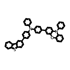 c1ccc(N(c2ccc(-c3ccc4c(c3)Oc3ccccc3N4c3ccccc3)cc2)c2ccc(-c3ccc4sc5ccccc5c4c3)cc2)cc1